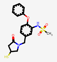 CS(=O)(=O)Nc1cc(CN2CC(S)CC2=O)ccc1Oc1ccccc1